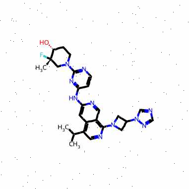 CC(C)c1cnc(N2CC(n3cncn3)C2)c2cnc(Nc3ccnc(N4CC[C@@H](O)[C@@](C)(F)C4)n3)cc12